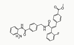 COC(=O)c1ccc(C=C(C(=O)NCc2ccc(C(=O)Nc3ccccc3N)cc2)c2ccccc2F)cc1